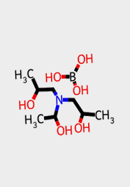 CC(O)CN(CC(C)O)C(C)O.OB(O)O